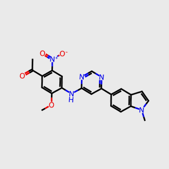 COc1cc(C(C)=O)c([N+](=O)[O-])cc1Nc1cc(-c2ccc3c(ccn3C)c2)ncn1